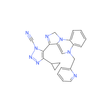 N#Cn1nnc(C2CC2)c1C1=NCN2C1=CN(Cc1ccccn1)c1ccccc12